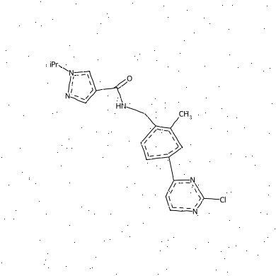 Cc1cc(-c2ccnc(Cl)n2)ccc1CNC(=O)c1cnn(C(C)C)c1